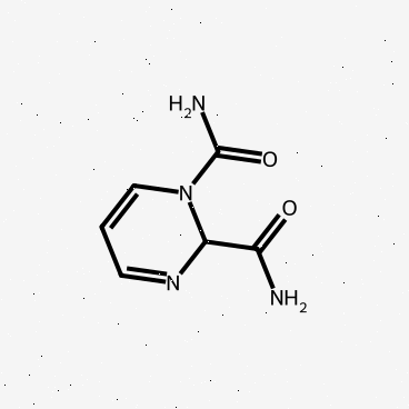 NC(=O)C1N=CC=CN1C(N)=O